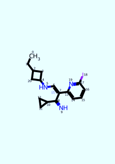 CCC1CC(N/C=C(\C(=N)C2CC2)c2cccc(I)n2)C1